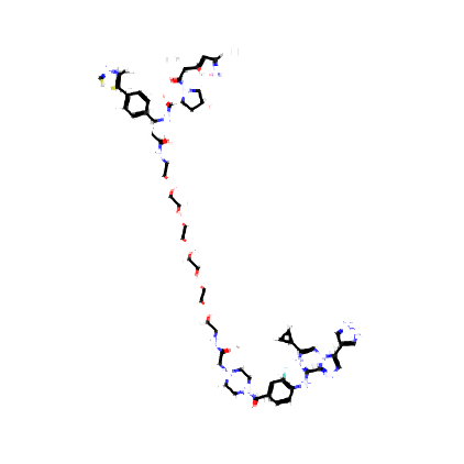 Cc1cc([C@H](C(=O)N2C[C@H](O)C[C@H]2C(=O)N[C@@H](CC(=O)NCCOCCOCCOCCOCCOCCNC(=O)CN2CCN(C(=O)c3ccc(Nc4nc(C5CC5)cn5c(-c6cn[nH]c6)cnc45)c(F)c3)CC2)c2ccc(-c3scnc3C)cc2)C(C)C)on1